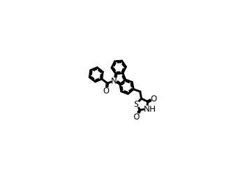 O=C1NC(=O)C(Cc2ccc3c(c2)c2ccccc2n3C(=O)c2ccccc2)S1